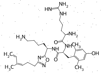 C=C/C(C)=C\CCc1noc([C@@H](CCCCN)NC(=O)[C@H](Cc2c(C)cc(O)cc2C)NC(=O)[C@H](N)CCCNC(=N)N)n1